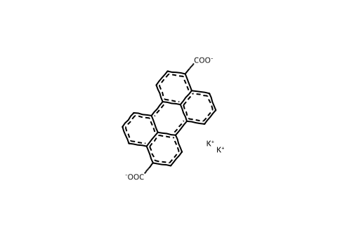 O=C([O-])c1ccc2c3cccc4c(C(=O)[O-])ccc(c5cccc1c52)c43.[K+].[K+]